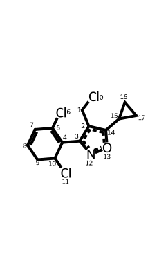 ClCc1c(C2=C(Cl)C=CCC2Cl)noc1C1CC1